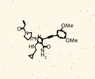 C=CC(=O)N1CC[C@H](n2nc(C#Cc3cc(OC)cc(OC)c3)c(C(N)=O)c2NCC2CC2)C1